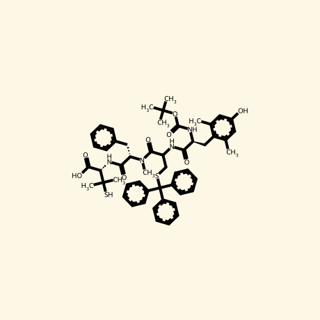 Cc1cc(O)cc(C)c1C[C@H](NC(=O)OC(C)(C)C)C(=O)NC(CSC(c1ccccc1)(c1ccccc1)c1ccccc1)C(=O)N(C)[C@@H](Cc1ccccc1)C(=O)N[C@@H](C(=O)O)C(C)(C)S